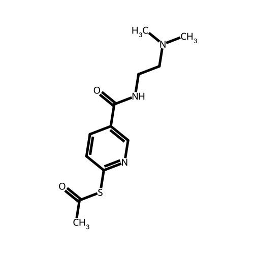 CC(=O)Sc1ccc(C(=O)NCCN(C)C)cn1